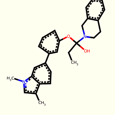 CCC(O)(Oc1cccc(-c2ccc3c(C)cn(C)c3c2)c1)N1CCc2ccccc2C1